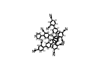 N#Cc1ccc(-c2ccc3c4ccc(-c5ccc(C#N)cc5C#N)cc4n(-c4cc(C#N)c(-c5ccncc5)cc4-n4c5cc(-c6ccc(C#N)cc6C#N)ccc5c5ccc(-c6ccc(C#N)cc6C#N)cc54)c3c2)c(C#N)c1